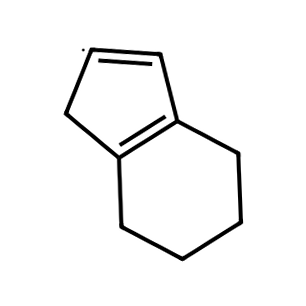 [C]1=CC2=C(C1)CCCC2